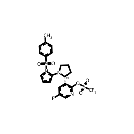 Cc1ccc(S(=O)(=O)n2cccc2N2CCC[C@@H]2c2cc(F)cnc2OS(=O)(=O)C(F)(F)F)cc1